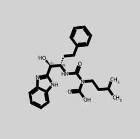 CC(C)CCN(C(=O)O)C(=O)N[C@@H](CCc1ccccc1)[C@H](O)c1nc2ccccc2[nH]1